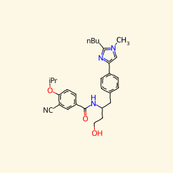 CCCCc1nc(-c2ccc(CC(CCO)NC(=O)c3ccc(OC(C)C)c(C#N)c3)cc2)cn1C